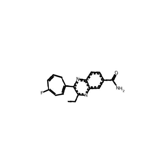 CCc1nc2cc(C(N)=O)ccc2nc1C1=CC=C(F)C=CC1